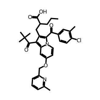 CCCC(Cc1c(C(=O)C(C)(C)C)c2cc(OCc3cccc(C)n3)ccn2c1C(=O)c1ccc(Cl)c(C)c1)C(=O)O